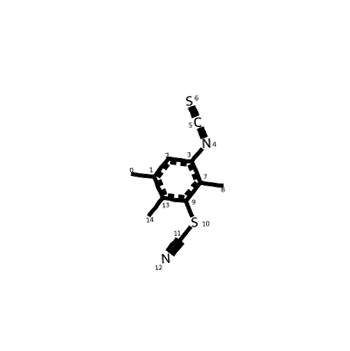 Cc1cc(N=C=S)c(C)c(SC#N)c1C